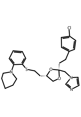 Clc1ccc(CC[C@]2(Cn3ccnc3)OC[C@H](CCSc3ccccc3N3CCCCC3)O2)cc1